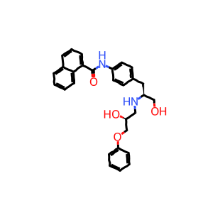 O=C(Nc1ccc(C[C@@H](CO)NC[C@H](O)COc2ccccc2)cc1)c1cccc2ccccc12